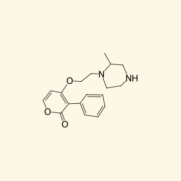 CC1CNCCN1CCOc1ccoc(=O)c1-c1ccccc1